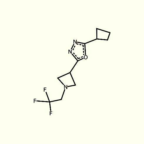 FC(F)(F)CN1CC(c2nnc(C3CCC3)o2)C1